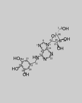 OC[C@H]1OC(n2cnc3c(NCc4cc(O)c(O)c(O)c4)ncnc32)[C@H](O)[C@@H]1O